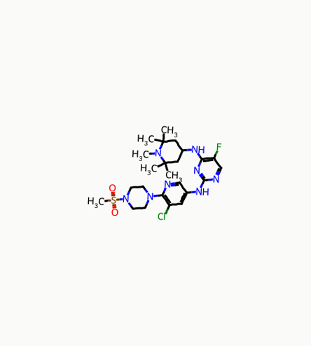 CN1C(C)(C)CC(Nc2nc(Nc3cnc(N4CCN(S(C)(=O)=O)CC4)c(Cl)c3)ncc2F)CC1(C)C